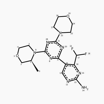 C[C@H]1COCCN1c1nc(-c2cnc(N)nc2C(F)F)nc(N2CCOCC2)n1